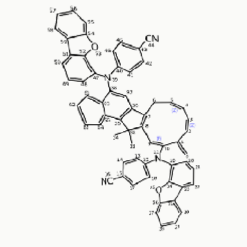 C=C1/C=C\C=C/CC2=C(/C=C\1N(c1ccc(C#N)cc1)c1cccc3c1oc1ccccc13)C(C)(C)c1c2cc(N(c2ccc(C#N)cc2)c2cccc3c2oc2ccccc23)c2ccccc12